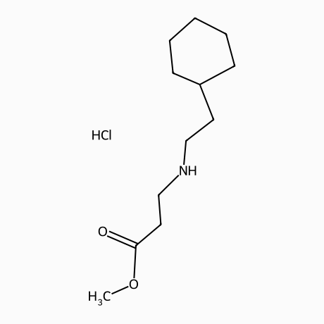 COC(=O)CCNCCC1CCCCC1.Cl